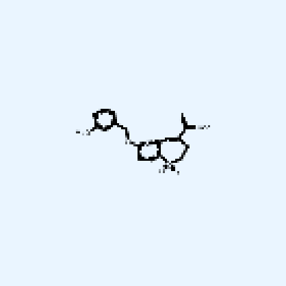 COC(=O)C1=Cc2cc(OCc3cccc(OC)c3)ccc2S(=O)(=O)CC1